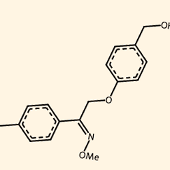 CON=C(COc1ccc(CO)cc1)c1ccc(C)cc1